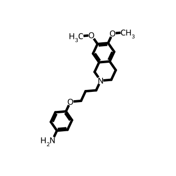 COc1cc2c(cc1OC)CN(CCCOc1ccc(N)cc1)CC2